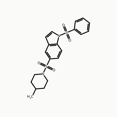 CC1CCN(S(=O)(=O)c2ccc3c(ccn3S(=O)(=O)c3ccccc3)c2)CC1